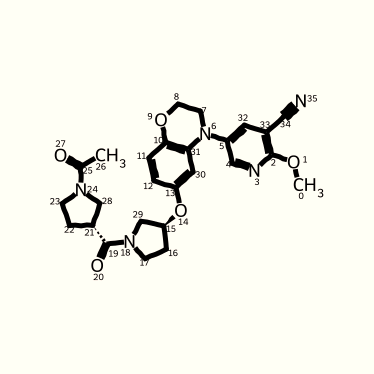 COc1ncc(N2CCOc3ccc(O[C@H]4CCN(C(=O)[C@@H]5CCN(C(C)=O)C5)C4)cc32)cc1C#N